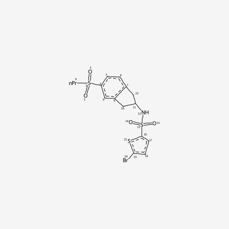 CCCS(=O)(=O)c1ccc2c(c1)CC(NS(=O)(=O)c1ccc(Br)s1)C2